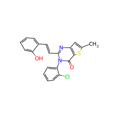 Cc1cc2nc(C=Cc3ccccc3O)n(-c3ccccc3Cl)c(=O)c2s1